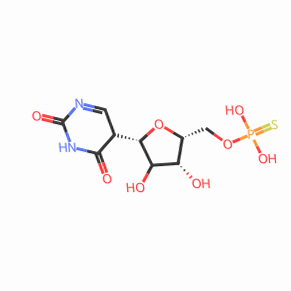 O=C1N=CC([C@@H]2O[C@H](COP(O)(O)=S)[C@H](O)C2O)C(=O)N1